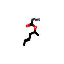 CC=CCC(C)OC(=O)CCCCC